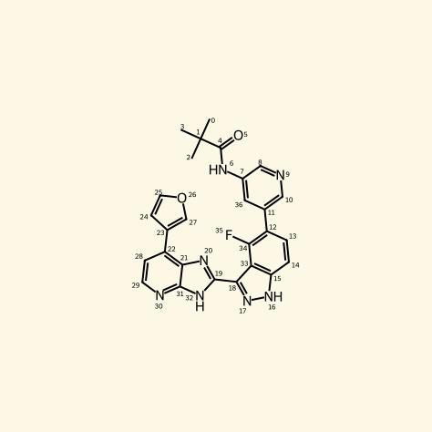 CC(C)(C)C(=O)Nc1cncc(-c2ccc3[nH]nc(-c4nc5c(-c6ccoc6)ccnc5[nH]4)c3c2F)c1